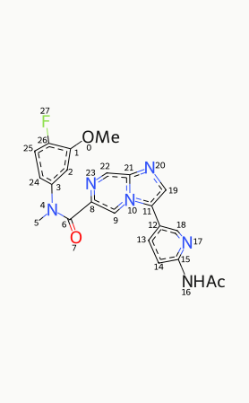 COc1cc(N(C)C(=O)c2cn3c(-c4ccc(NC(C)=O)nc4)cnc3cn2)ccc1F